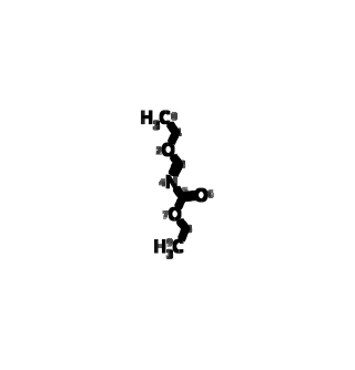 CCOC=NC(=O)OCC